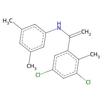 C=C(Nc1cc(C)cc(C)c1)c1cc(Cl)cc(Cl)c1C